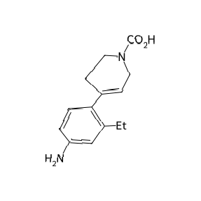 CCc1cc(N)ccc1C1=CCN(C(=O)O)CC1